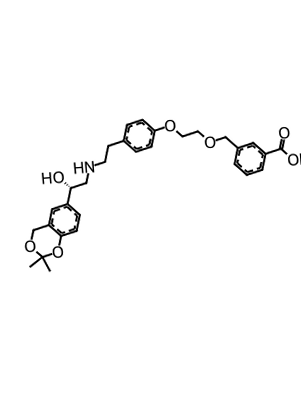 CC1(C)OCc2cc([C@H](O)CNCCc3ccc(OCCOCc4cccc(C(=O)O)c4)cc3)ccc2O1